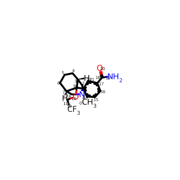 CN1C[C@H]2CCC[C@@H](C1)C2(OCC(F)(F)F)c1cccc(C(N)=O)c1